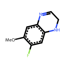 COc1cc2c(cc1F)NCC=N2